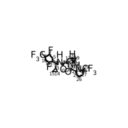 O=C(N[C@@H](c1cc(F)c(C(F)(F)F)cc1F)C1CC1)[C@H]1C[C@H]2C[C@H]2N1C(=O)c1cccc(C(F)(F)F)n1